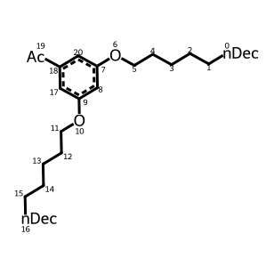 CCCCCCCCCCCCCCCOc1cc(OCCCCCCCCCCCCCCC)cc(C(C)=O)c1